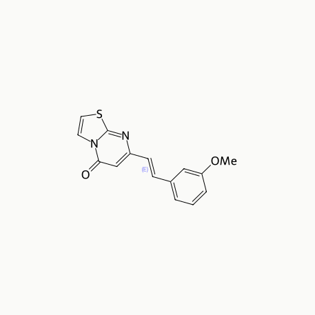 COc1cccc(/C=C/c2cc(=O)n3ccsc3n2)c1